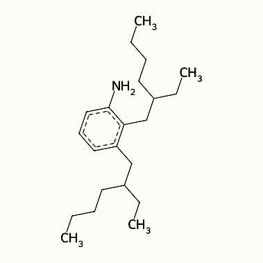 CCCCC(CC)Cc1cccc(N)c1CC(CC)CCCC